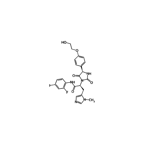 Cn1cncc1C[C@@H](C(=O)Nc1ccc(I)cc1F)N1C(=O)N[C@H](c2ccc(OCCO)cc2)C1=O